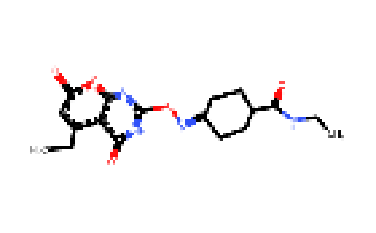 CCNC(=O)C1CCC(=NOc2nc3oc(=O)cc(CC)c3c(=O)[nH]2)CC1